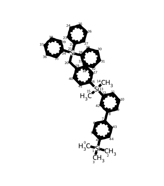 C[Si](C)(C)c1ccc(-c2cccc([Si](C)(C)c3ccc(C[Si](c4ccccc4)(c4ccccc4)c4ccccc4)cc3)c2)cc1